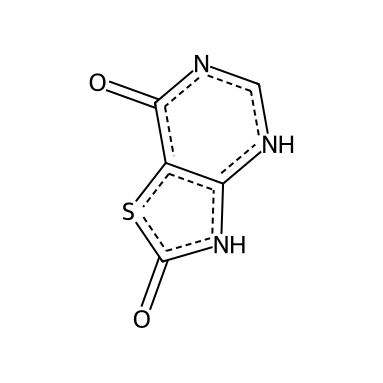 O=c1[nH]c2[nH]cnc(=O)c2s1